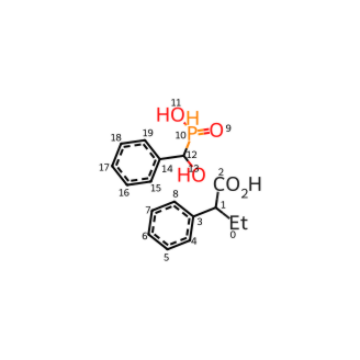 CCC(C(=O)O)c1ccccc1.O=[PH](O)C(O)c1ccccc1